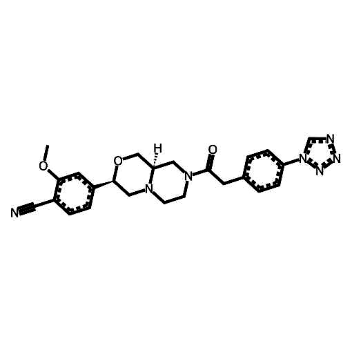 COc1cc([C@@H]2CN3CCN(C(=O)Cc4ccc(-n5cnnn5)cc4)C[C@@H]3CO2)ccc1C#N